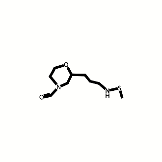 CSNCCCC1CN(C=O)CCO1